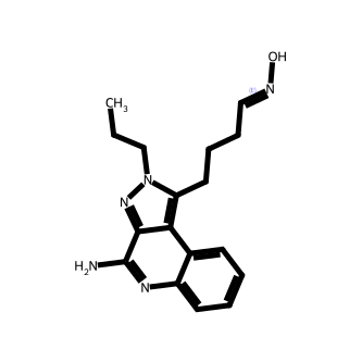 CCCn1nc2c(N)nc3ccccc3c2c1CCC/C=N/O